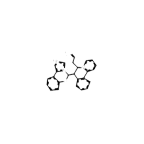 C=CCC1C(C2Oc3ccccc3-c3c[nH]c[n+]32)c2ccccc2-c2cccc[n+]21